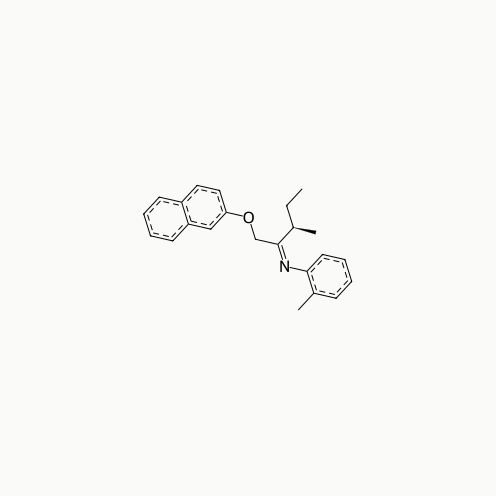 CC[C@@H](C)/C(COc1ccc2ccccc2c1)=N\c1ccccc1C